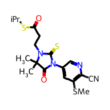 CSc1cc(N2C(=O)C(C)(C)N(CCC(=O)SC(C)C)C2=S)cnc1C#N